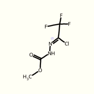 COC(=O)N/N=C(\Cl)C(F)(F)F